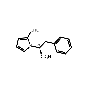 O=Cc1cccn1[C@@H](Cc1ccccc1)C(=O)O